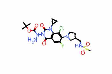 CC(C)(C)OC(=O)N(N)n1c(=O)c2cc(F)c(N3CCC(CNS(C)(=O)=O)C3)c(Cl)c2n(C2CC2)c1=O